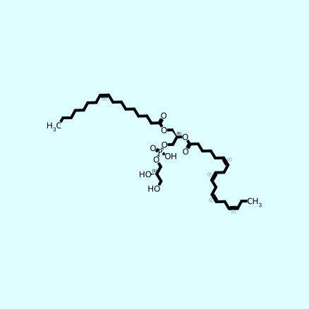 CC/C=C\C/C=C\C/C=C\C/C=C\CCCCC(=O)O[C@H](COC(=O)CCCCCCC/C=C\CCCCCCC)COP(=O)(O)OC[C@@H](O)CO